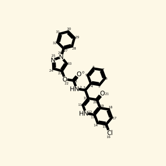 O=C(NC(c1ccccc1)c1c[nH]c2cc(Cl)ccc2c1=O)Oc1cnn(-c2ccccc2)c1